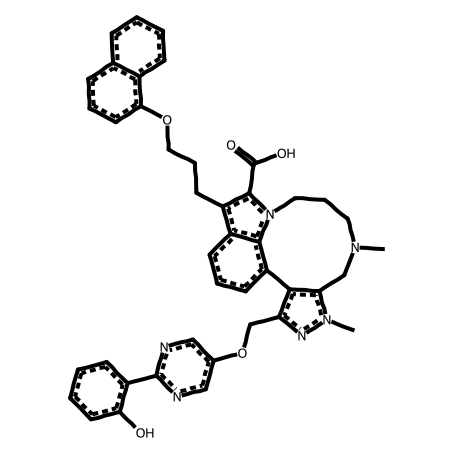 CN1CCCn2c(C(=O)O)c(CCCOc3cccc4ccccc34)c3cccc(c32)-c2c(COc3cnc(-c4ccccc4O)nc3)nn(C)c2C1